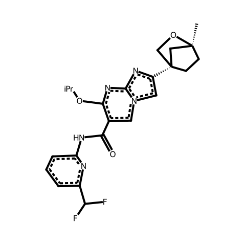 CC(C)Oc1nc2nc([C@@]34CC[C@@](C)(C3)OC4)cn2cc1C(=O)Nc1cccc(C(F)F)n1